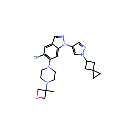 CC1(N2CCN(c3cc4c(cnn4-c4cnn(C5CC6(CC6)C5)c4)cc3Cl)CC2)COC1